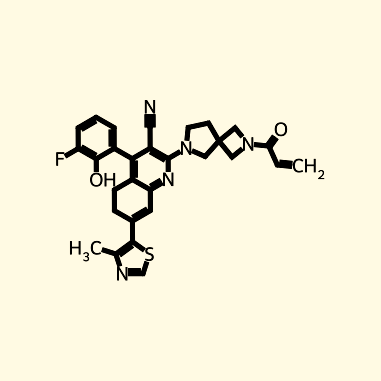 C=CC(=O)N1CC2(CCN(c3nc4c(c(-c5cccc(F)c5O)c3C#N)CCC(c3scnc3C)=C4)C2)C1